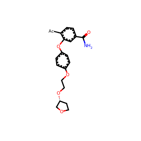 CC(=O)c1ccc(C(N)=O)cc1Oc1ccc(OCCO[C@@H]2CCOC2)cc1